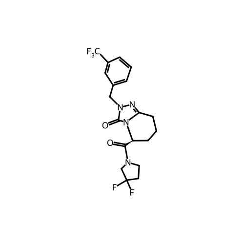 O=C([C@@H]1CCCc2nn(Cc3cccc(C(F)(F)F)c3)c(=O)n21)N1CCC(F)(F)C1